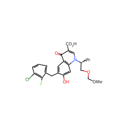 COCOC[C@H](C(C)C)n1cc(C(=O)O)c(=O)c2cc(Cc3cccc(Cl)c3F)c(O)cc21